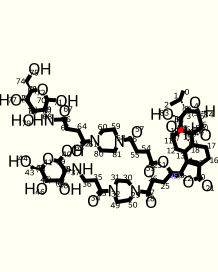 CC(C)[C@]12O[C@H]1[C@@H]1O[C@]13[C@]1(O[C@H]1CC1C4=C(CC[C@@]13C)C(=O)O/C4=C(\CCC(=O)N1CCN(C(=O)CCN[C@H]3C(O)O[C@H](CO)[C@@H](O)[C@@H]3O)CC1)OC(=O)CCC(=O)N1CCN(C(=O)CCC(=O)N[C@H]3C(O)O[C@H](CO)[C@@H](O)[C@@H]3O)CC1)[C@@H]2O